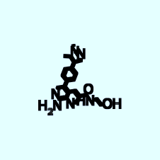 CC1C(c2ccc(-c3cnc(N)c4ncc(C(=O)NCCO)cc34)cc2)C=NN1C